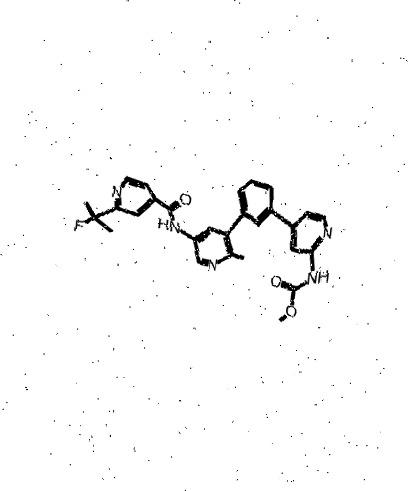 COC(=O)Nc1cc(-c2cccc(-c3cc(NC(=O)c4ccnc(C(C)(C)F)c4)cnc3C)c2)ccn1